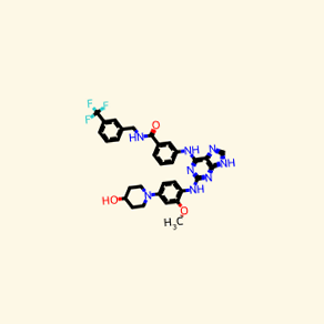 COc1cc(N2CCC(O)CC2)ccc1Nc1nc(Nc2cccc(C(=O)NCc3cccc(C(F)(F)F)c3)c2)c2nc[nH]c2n1